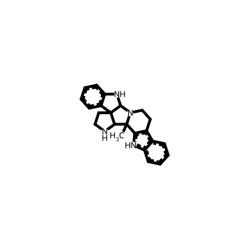 CC12c3[nH]c4ccccc4c3CCN1C1Nc3ccccc3C13CCNC32